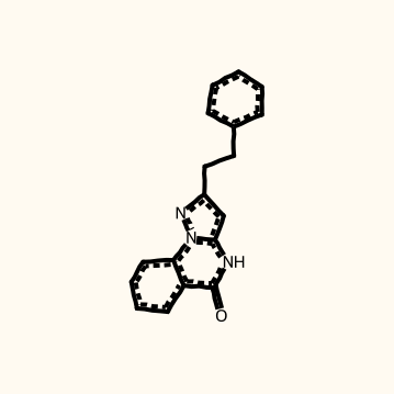 O=c1[nH]c2cc(CCc3ccccc3)nn2c2ccccc12